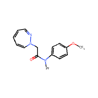 CC(C)N(C(=O)CN1C=CC=CC=N1)c1ccc(OC(F)(F)F)cc1